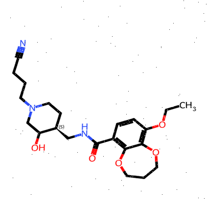 CCOc1ccc(C(=O)NC[C@@H]2CCN(CCCC#N)CC2O)c2c1OCCCO2